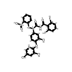 O=C(NC(=O)N(Sc1ccccc1[N+](=O)[O-])c1ccc(Oc2ncc(Cl)cc2Cl)c(Cl)c1)c1c(F)cccc1F